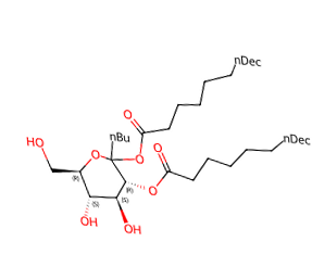 CCCCCCCCCCCCCCCC(=O)O[C@@H]1[C@@H](O)[C@H](O)[C@@H](CO)OC1(CCCC)OC(=O)CCCCCCCCCCCCCCC